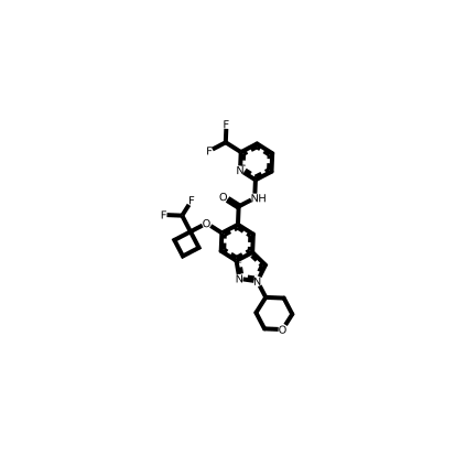 O=C(Nc1cccc(C(F)F)n1)c1cc2cn(C3CCOCC3)nc2cc1OC1(C(F)F)CCC1